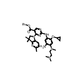 Cc1ccc2c(n1)C(C)(C)CN2c1nc(Nc2cc(N)c(N(C)CCN(C)C)cc2OC2CC2)ncc1C(=O)OC(C)C